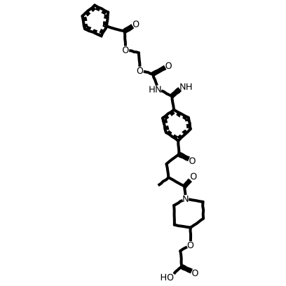 CC(CC(=O)c1ccc(C(=N)NC(=O)OCOC(=O)c2ccccc2)cc1)C(=O)N1CCC(OCC(=O)O)CC1